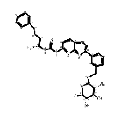 CC[C@H]1O[C@@H](OCc2cccc(-c3cnc4ccc(NC(=O)N[C@H](C)CCCc5ccccc5)nc4n3)c2)[C@H](O)[C@@H](O)[C@@H]1O